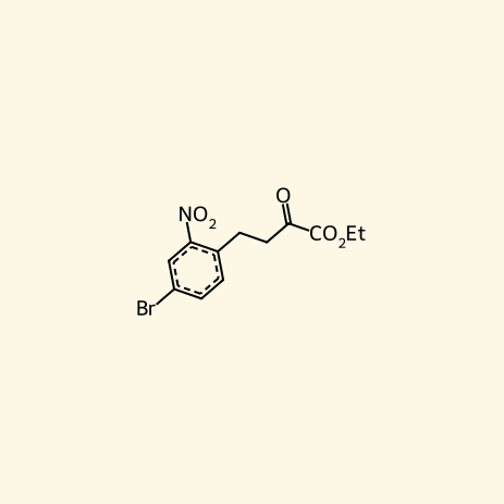 CCOC(=O)C(=O)CCc1ccc(Br)cc1[N+](=O)[O-]